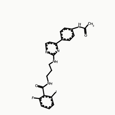 CC(=O)Nc1ccc(-c2ccnc(NCCCNC(=O)c3c(F)cccc3I)n2)cc1